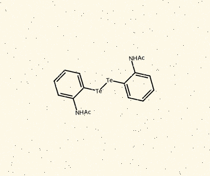 CC(=O)Nc1ccccc1[Te][Te]c1ccccc1NC(C)=O